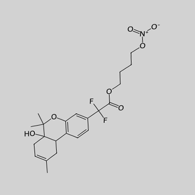 CC1=CCC2(O)C(C1)c1ccc(C(F)(F)C(=O)OCCCCO[N+](=O)[O-])cc1OC2(C)C